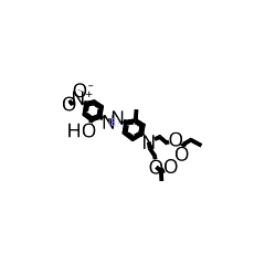 CCC(=O)OCCN(CCOC(C)=O)c1ccc(/N=N/c2ccc([N+](=O)[O-])cc2O)c(C)c1